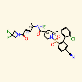 C[C@H](/C=C/C(=O)N1CC(F)(F)C1)NC(=O)[C@]1(F)CCN(S(=O)(=O)c2ccc(C#N)cc2-c2ccccc2Cl)[C@H](C)C1